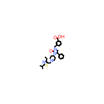 CCc1nc(C(C)C)sc1CN1CCC(N2C(=O)N(Cc3cccc(C(=O)O)c3)CC2c2ccccc2)CC1